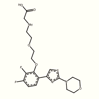 O=C(O)CNCCOCCOc1c(-c2csc(N3CCOCC3)n2)ccc(F)c1F